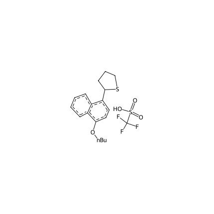 CCCCOc1ccc(C2CCCS2)c2ccccc12.O=S(=O)(O)C(F)(F)F